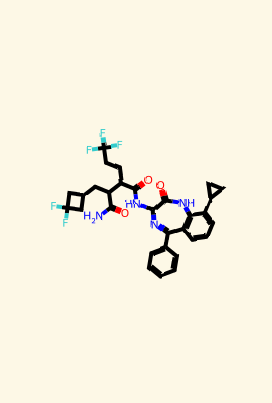 NC(=O)C(CC1CC(F)(F)C1)C(CCC(F)(F)F)C(=O)NC1N=C(c2ccccc2)c2cccc(C3CC3)c2NC1=O